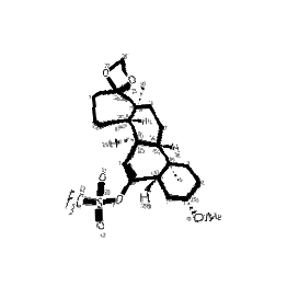 CO[C@H]1CC[C@@]2(C)[C@H](C1)C(OS(=O)(=O)C(F)(F)F)=C[C@@H]1[C@@H]2CC[C@@]2(C)[C@H]1CCC21OCO1